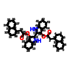 O=C(Cc1cccc2ccccc12)Oc1c(-c2[nH]c3ccccc3c2OC(=O)Cc2cccc3ccccc23)[nH]c2ccccc12